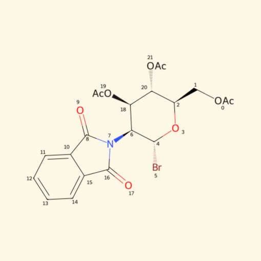 CC(=O)OC[C@H]1O[C@H](Br)[C@@H](N2C(=O)c3ccccc3C2=O)[C@@H](OC(C)=O)[C@@H]1OC(C)=O